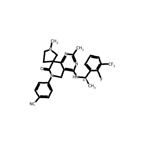 Cc1nc(N[C@H](C)c2cccc(C(F)(F)F)c2F)c2c(n1)C1(CCN(C)C1)C(=O)N(c1ccc(C#N)cc1)C2